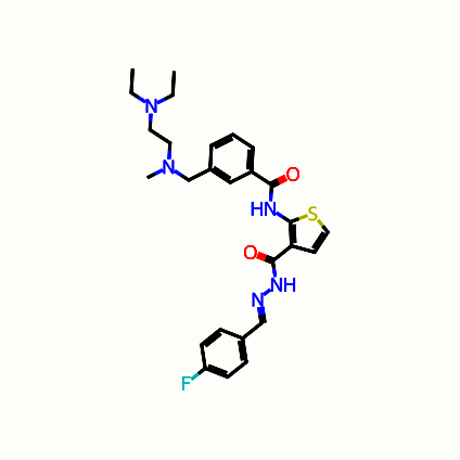 CCN(CC)CCN(C)Cc1cccc(C(=O)Nc2sccc2C(=O)N/N=C/c2ccc(F)cc2)c1